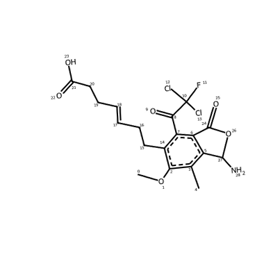 COc1c(C)c2c(c(C(=O)C(F)(Cl)Cl)c1CC/C=C/CCC(=O)O)C(=O)OC2N